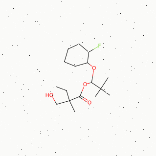 CCC(C)(CO)C(=O)OC(OC1CCCCC1F)C(C)(C)C